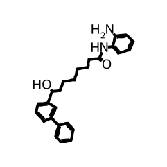 Nc1ccccc1NC(=O)CCCCCCC(O)c1cccc(-c2ccccc2)c1